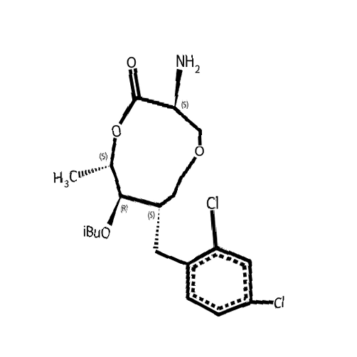 CC(C)CO[C@@H]1[C@@H](Cc2ccc(Cl)cc2Cl)COC[C@H](N)C(=O)O[C@H]1C